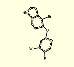 N#Cc1cc(Oc2ccc3[nH]ccc3c2Br)ccc1F